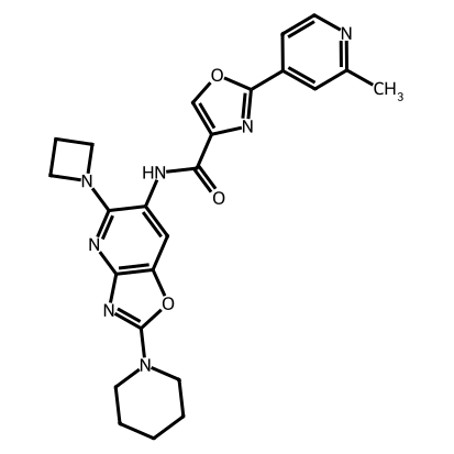 Cc1cc(-c2nc(C(=O)Nc3cc4oc(N5CCCCC5)nc4nc3N3CCC3)co2)ccn1